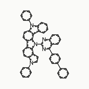 c1ccc(-c2ccc(-c3nc(-n4c5c(ccc6c5ccn6-c5ccccc5)c5ccc6c(c7ccccc7n6-c6ccccc6)c54)nc4ccccc34)cc2)cc1